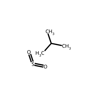 CC(C)C.O=S=O